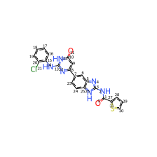 O=C(Nc1nc2cc(-c3cc(=O)[nH]c(Nc4ccccc4Cl)n3)ccc2[nH]1)c1cccs1